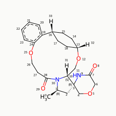 C[C@@H]1C[C@]2(COCC(=O)N2)[C@H]2CO[C@H]3CC[C@H](CC3)c3ccccc3OCCC(=O)N12